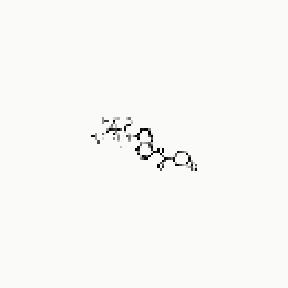 CCC(C)(C)C(=O)Nc1cccc2c(OC(=O)C3CCC4OC4C3)cccc12